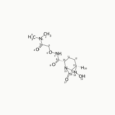 CN(C)C(=O)CONC(=O)[C@@H]1CC[C@@H]2CN1C(=O)N2O